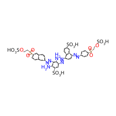 Nc1c(/N=N/c2ccc(/N=N/c3ccc(S(=O)(=O)CCOS(=O)(=O)O)cc3)c3cc(S(=O)(=O)O)ccc23)cc(S(=O)(=O)O)c(N)c1/N=N/c1ccc2cc(S(=O)(=O)CCOS(=O)(=O)O)ccc2c1